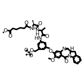 COC(=O)CCCCC(=O)N[C@@H](C)C(=O)NC(C)C(=O)Nc1cc(COc2cc3c(cc2OC)C(=O)N2c4ccccc4C[C@H]2C=N3)cc(COS(C)(=O)=O)c1